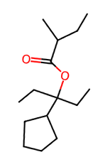 CCC(C)C(=O)OC(CC)(CC)C1CCCC1